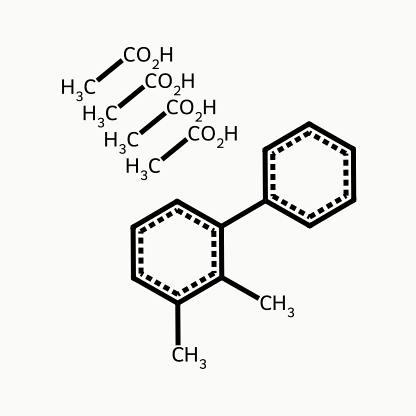 CC(=O)O.CC(=O)O.CC(=O)O.CC(=O)O.Cc1cccc(-c2ccccc2)c1C